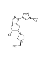 N#CC[C@@H]1CCN(c2cc3c(cnn3-c3cnn(C4CC4)c3)cc2Cl)C1